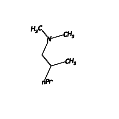 CC[CH]C(C)CN(C)C